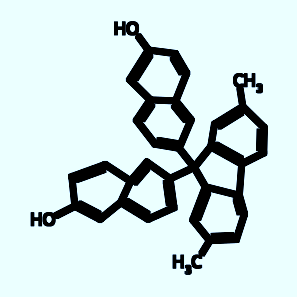 Cc1ccc2c(c1)C(c1ccc3cc(O)ccc3c1)(c1ccc3cc(O)ccc3c1)c1cc(C)ccc1-2